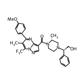 COc1ccc(-c2nc3c(C(=O)N4CCN([C@@H](CO)c5ccccc5)C[C@H]4C)cnn3c(C(F)(F)F)c2C)cc1